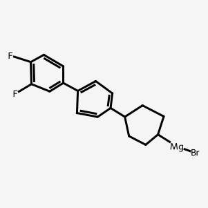 Fc1ccc(-c2ccc(C3CC[CH]([Mg][Br])CC3)cc2)cc1F